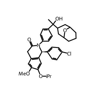 COc1cc2c(cc1OC(C)C)[C@H](c1ccc(Cl)cc1)N(c1ccc(C(C)(O)C3CC4CCCC(C3)O4)cc1)C(=O)C2